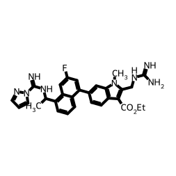 CCOC(=O)c1c(CNC(=N)N)n(C)c2cc(-c3cc(F)cc4c(C(C)NC(=N)n5cccn5)cccc34)ccc12